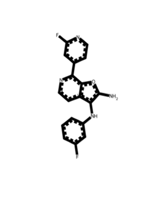 Nc1oc2c(-c3ccnc(F)c3)nccc2c1Nc1cccc(F)c1